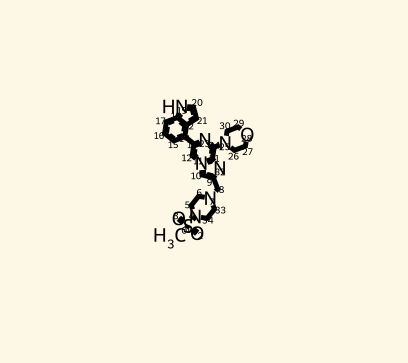 CS(=O)(=O)N1CCN(Cc2cn3cc(-c4cccc5[nH]ccc45)nc(N4CCOCC4)c3n2)CC1